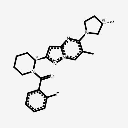 Cc1cn2nc([C@@H]3CCCCN3C(=O)c3ccccc3F)cc2nc1N1CC[C@H](C)C1